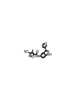 Cc1c(C#N)noc1C(=O)Nc1ccc2[nH]nc(-c3ccoc3)c2c1